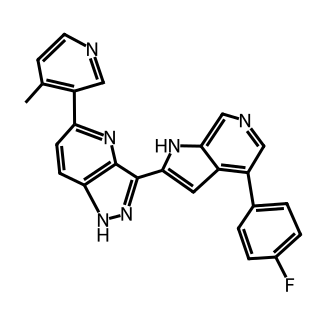 Cc1ccncc1-c1ccc2[nH]nc(-c3cc4c(-c5ccc(F)cc5)cncc4[nH]3)c2n1